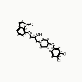 CC(=O)n1ccc2cccc(OCC(O)CN3CCC(Oc4ccc(Cl)c(Cl)c4)CC3)c21